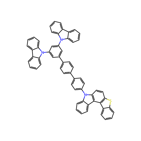 c1ccc2c(c1)sc1ccc3c(c4ccccc4n3-c3ccc(-c4ccc(-c5cc(-n6c7ccccc7c7ccccc76)cc(-n6c7ccccc7c7ccccc76)c5)cc4)cc3)c12